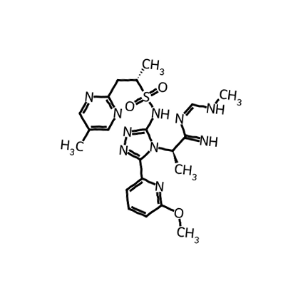 CN/C=N\C(=N)[C@@H](C)n1c(NS(=O)(=O)[C@@H](C)Cc2ncc(C)cn2)nnc1-c1cccc(OC)n1